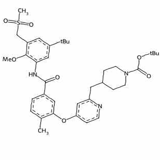 COc1c(CS(C)(=O)=O)cc(C(C)(C)C)cc1NC(=O)c1ccc(C)c(Oc2ccnc(CC3CCN(C(=O)OC(C)(C)C)CC3)c2)c1